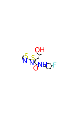 CC(CO)Cc1sc(-c2nccs2)nc1C(=O)NCC1=CCC(F)C=C1